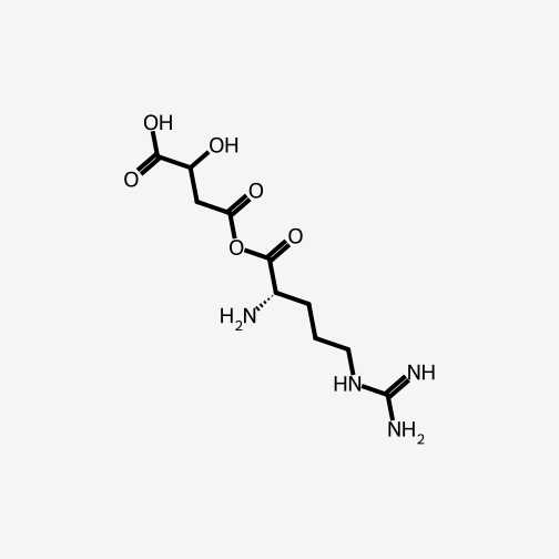 N=C(N)NCCC[C@H](N)C(=O)OC(=O)CC(O)C(=O)O